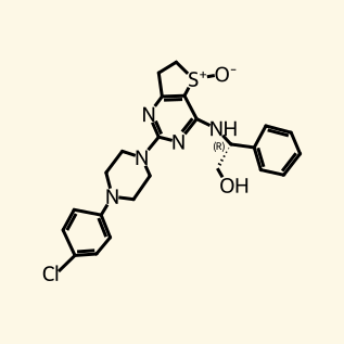 [O-][S+]1CCc2nc(N3CCN(c4ccc(Cl)cc4)CC3)nc(N[C@@H](CO)c3ccccc3)c21